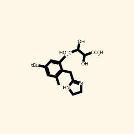 Cc1cc(C(C)(C)C)cc(C)c1CC1=NCCN1.O=C(O)C(O)C(O)C(=O)O